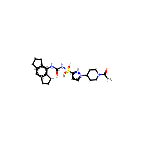 CC(=O)N1CCC(n2ccc(S(=O)(=O)NC(=O)Nc3c4c(cc5c3CCC5)CCC4)n2)CC1